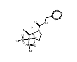 O=C(NCc1ccccc1)N1CC[C@@H]2[C@H]1C(=O)[N+]2(S(=O)(=O)O)S(=O)(=O)O